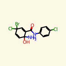 NC1(O)C=CC(Cl)(Br)C=C1C(=O)Nc1ccc(Cl)cc1